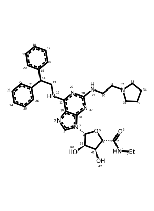 CCNC(=O)[C@H]1O[C@@H](n2cnc3c(NCC(c4ccccc4)c4ccccc4)nc(NCCN4CCCC4)nc32)[C@H](O)[C@@H]1O